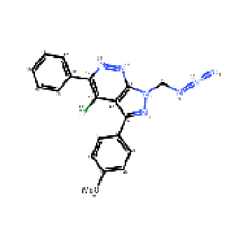 COc1ccc(-c2nn(CN=[N+]=[N-])c3nnc(-c4ccccc4)c(Cl)c23)cc1